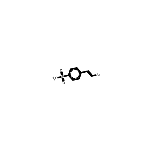 CC(=O)C=Cc1ccc(S(C)(=O)=O)cc1